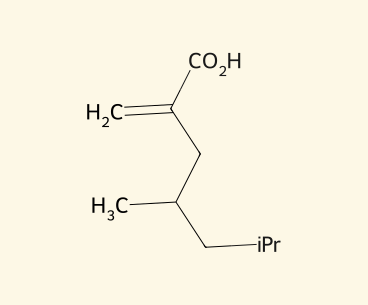 C=C(CC(C)CC(C)C)C(=O)O